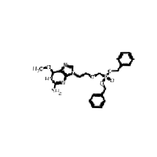 COC1NC(N)=Nc2c1ncn2CCOCP(=O)(OCc1ccccc1)OCc1ccccc1